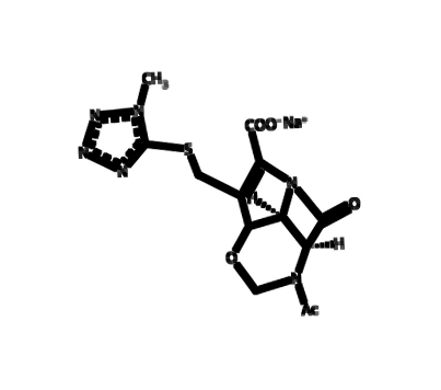 CC(=O)N1COC2C(CSc3nnnn3C)=C(C(=O)[O-])N3C(=O)[C@@H]1[C@@H]23.[Na+]